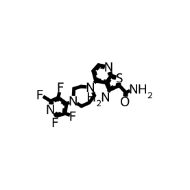 NC(=O)c1sc2nccc(N3CCCN(c4c(F)c(F)nc(F)c4F)CC3)c2c1N